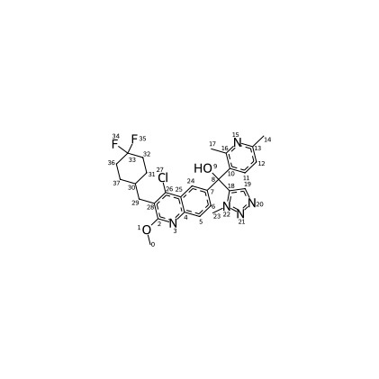 COc1nc2ccc(C(O)(c3ccc(C)nc3C)c3cnnn3C)cc2c(Cl)c1CC1CCC(F)(F)CC1